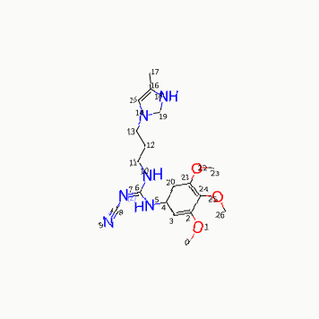 COC1=CC(N/C(=N\C#N)NCCCN2C=C(C)NC2)CC(OC)=C1OC